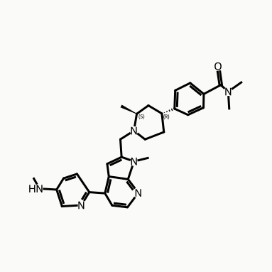 CNc1ccc(-c2ccnc3c2cc(CN2CC[C@@H](c4ccc(C(=O)N(C)C)cc4)C[C@@H]2C)n3C)nc1